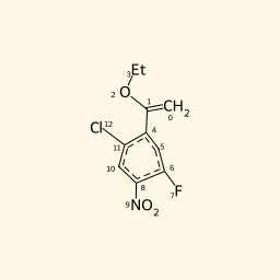 C=C(OCC)c1cc(F)c([N+](=O)[O-])cc1Cl